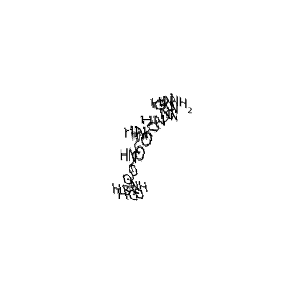 C[C@H](CCC(=O)NCCOCCC(=O)N[C@H](CS)C(=O)O)NC(=O)c1ccc(NCc2cnc3nc(N)[nH]c(=O)c3n2)cc1